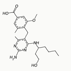 CCCCC(CCO)Nc1nc(N)nc(C)c1Cc1c(C)cc(C(=O)O)cc1OC